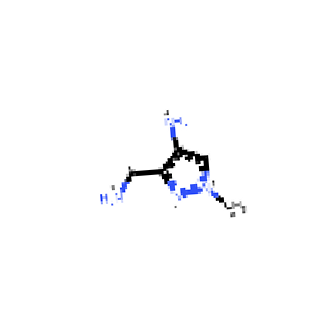 Cn1cc(N)c(CN)n1